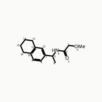 COCC(=O)NC(C)c1ccc2c(c1)CCCC2